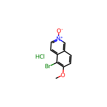 COc1ccc2c[n+]([O-])ccc2c1Br.Cl